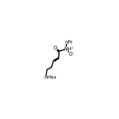 CCCCCCCCC=CC(=O)[NH+]([O-])CCC